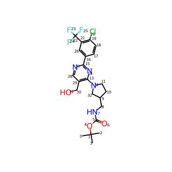 CC(C)(C)OC(=O)NCC1CCN(c2nc(-c3ccc(Cl)c(C(F)(F)F)c3)ncc2CO)C1